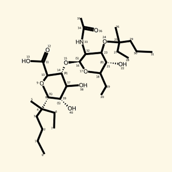 CCCCC(C)(CC)[C@@H]1OC(C(=O)O)[C@H](O[C@@H]2OC(CC)[C@@H](O)C(OC(C)(CC)CCC)C2NC(C)=O)C(O)[C@@H]1O